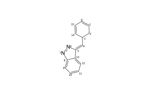 C1=CCC(C=C2N=Nc3ccccc32)C=C1